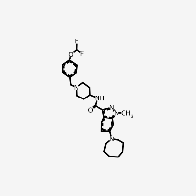 Cn1nc(C(=O)NC2CCN(Cc3ccc(OC(F)F)cc3)CC2)c2ccc(N3CCCCCCC3)cc21